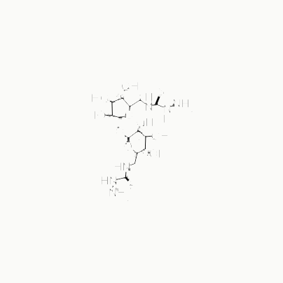 NNC(=S)NCC1O[C@H](OC2OC(CNC(=S)NN)[C@@H](O)C(O)[C@@H]2O)C(O)C(O)[C@@H]1O